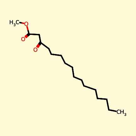 CCCCCCCCCCCCCC(=O)CC(=O)OC